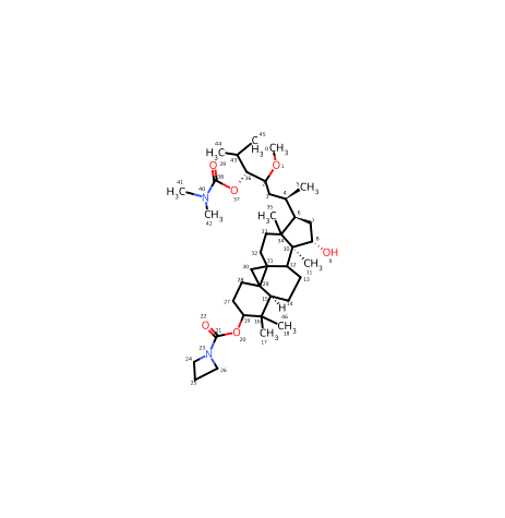 COC(C[C@@H](C)[C@H]1C[C@H](O)[C@@]2(C)C3CC[C@H]4C(C)(C)C(OC(=O)N5CCC5)CCC45CC35CCC12C)[C@H](OC(=O)N(C)C)C(C)C